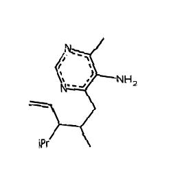 C=CC(C(C)C)C(C)Cc1ncnc(C)c1N